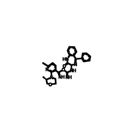 Cc1ccc(C(=N)OC(=N)NC2N=C(c3ccccc3)c3ccccc3NC2=O)c(N2CCOC[C@H]2C)n1